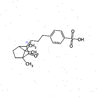 CC12CCC(/C(=C/CCc3ccc(S(=O)(=O)O)cc3)C1=O)C2(C)C